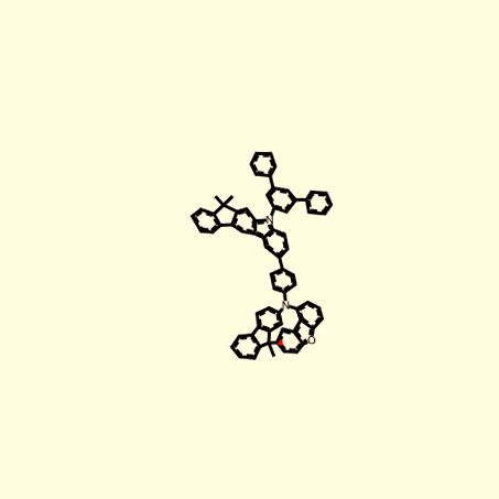 CC1(C)c2ccccc2-c2ccc(N(c3ccc(-c4ccc5c(c4)c4cc6c(cc4n5-c4cc(-c5ccccc5)cc(-c5ccccc5)c4)C(C)(C)c4ccccc4-6)cc3)c3cccc4oc5ccccc5c34)cc21